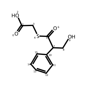 O=C(O)CSC(=O)C(CO)c1ccccc1